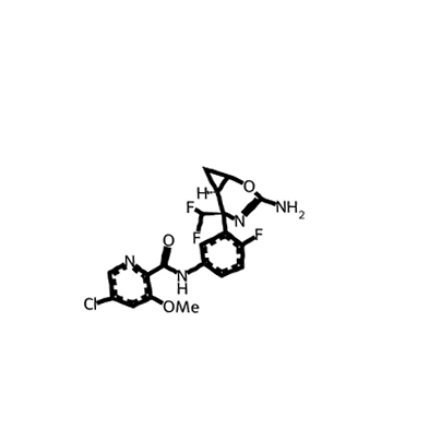 COc1cc(Cl)cnc1C(=O)Nc1ccc(F)c([C@@]2(C(F)F)N=C(N)OC3C[C@@H]32)c1